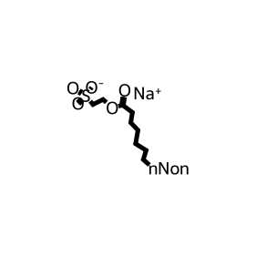 CCCCCCCCCCCCCCCC(=O)OCCS(=O)(=O)[O-].[Na+]